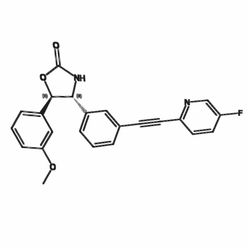 COc1cccc([C@H]2OC(=O)N[C@@H]2c2cccc(C#Cc3ccc(F)cn3)c2)c1